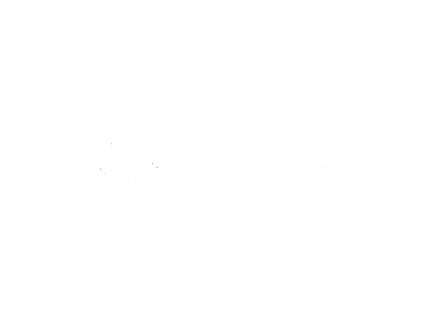 Cn1ccnc1S(=O)(=O)N1CCc2cc(-c3ccc(S(C)(=O)=O)cc3)ccc2C1